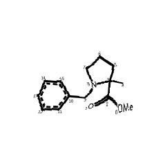 COC(=O)C1(C)CCCN1Cc1ccccc1